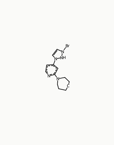 BrN1C=CN(c2ccnc(N3CCCCCC3)c2)N1